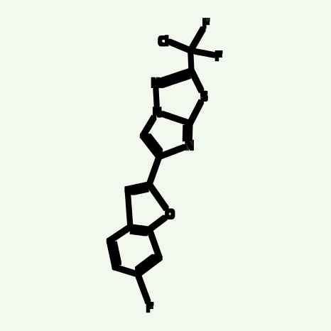 Fc1ccc2cc(-c3cn4nc(C(F)(F)Cl)sc4n3)oc2c1